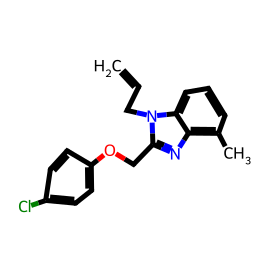 C=CCn1c(COc2ccc(Cl)cc2)nc2c(C)cccc21